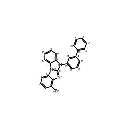 Brc1cccc2c1nc1n(-c3cccc(-c4ccccc4)c3)c3ccccc3n21